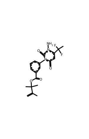 C=C(C)C(C)(C)OC(=O)c1cccc(-n2c(=O)cc(C(C)(F)F)n(N)c2=O)c1